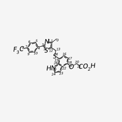 Cc1nc(-c2ccc(C(F)(F)F)cc2)sc1CSc1ccc(OCC(=O)O)c2cc[nH]c12